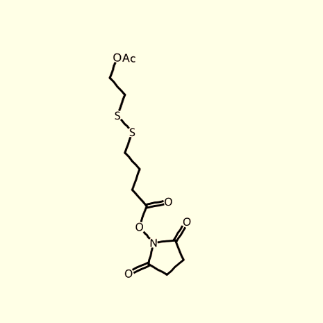 CC(=O)OCCSSCCCC(=O)ON1C(=O)CCC1=O